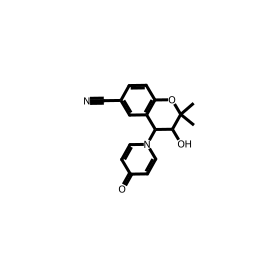 CC1(C)Oc2ccc(C#N)cc2C(n2ccc(=O)cc2)C1O